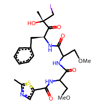 COCC(NC(=O)c1cnc(C)s1)C(=O)NC(COC)C(=O)N[C@@H](Cc1ccccc1)C(=O)[C@](C)(O)CI